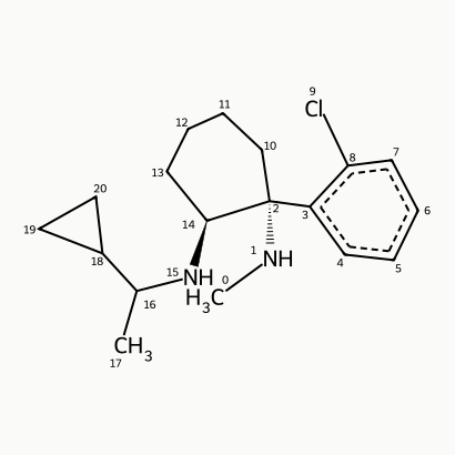 CN[C@@]1(c2ccccc2Cl)CCCC[C@@H]1NC(C)C1CC1